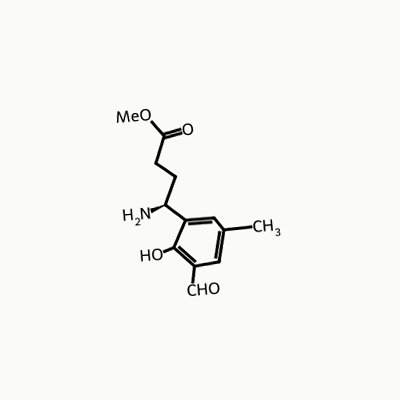 COC(=O)CC[C@H](N)c1cc(C)cc(C=O)c1O